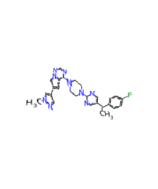 CC(c1ccc(F)cc1)c1cnc(N2CCN(c3ncnn4cc(-c5cnn(C)c5)cc34)CC2)nc1